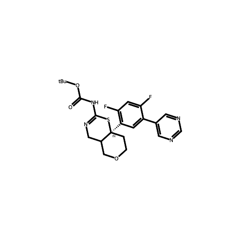 CC(C)(C)OC(=O)NC1=NCC2COCC[C@]2(c2cc(-c3cncnc3)c(F)cc2F)S1